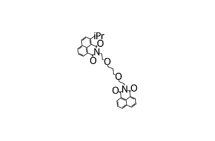 CC(C)c1ccc2cccc3c2c1C(=O)N(CCOCCCOCCN1C(=O)c2cccc4cccc(c24)C1=O)C3=O